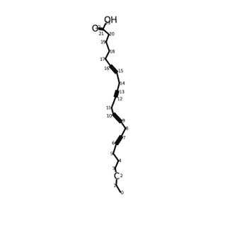 CCCCCCC#CCC#CCC#CCC#CCCCCC(=O)O